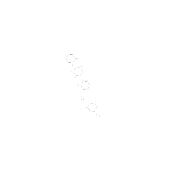 Oc1cc2c(cc1O)C(Cc1ccc(-c3ccc(-c4ccccc4)cc3)cc1)NCC2